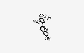 N#Cc1cc(C(=O)O)ccc1-c1ccc2cc(O)ccc2n1